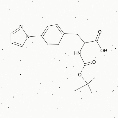 CC(C)(C)OC(=O)NC(Cc1ccc(-n2cccn2)cc1)C(=O)O